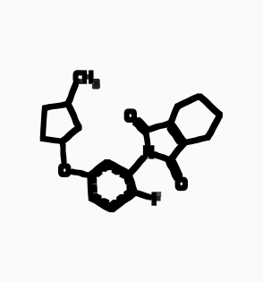 CC1CCC(Oc2ccc(F)c(N3C(=O)C4=C(CCCC4)C3=O)c2)C1